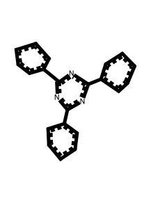 [c]1ccc(-c2nc(-c3ccccc3)nc(-c3ccccc3)n2)cc1